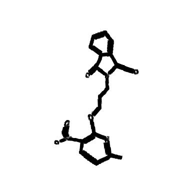 Cc1ccc([N+](=O)[O-])c(OCCCN2C(=O)c3ccccc3C2=O)n1